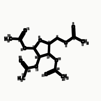 CC(=O)OCC1OC(OC(C)=O)C(OC(C)=O)C1OC(C)=O